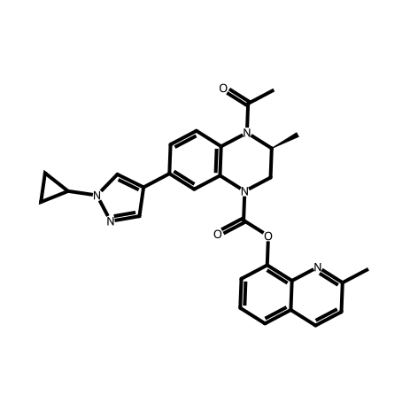 CC(=O)N1c2ccc(-c3cnn(C4CC4)c3)cc2N(C(=O)Oc2cccc3ccc(C)nc23)C[C@@H]1C